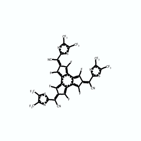 N#CC(=C1C(F)=c2c3c(c4c(c2=C1F)=C(F)C(=C(C#N)c1nc(C(F)(F)F)c(C(F)(F)F)s1)C=4F)=C(F)C(=C(C#N)c1nc(C(F)(F)F)c(C(F)(F)F)s1)C=3F)c1nc(C(F)(F)F)c(C(F)(F)F)s1